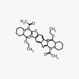 CCOC(=O)C1CCCCN1N(C(C)=O)c1nc2cc3nc(N(C(C)=O)N4CCCCC4C(=O)OCC)sc3cc2s1